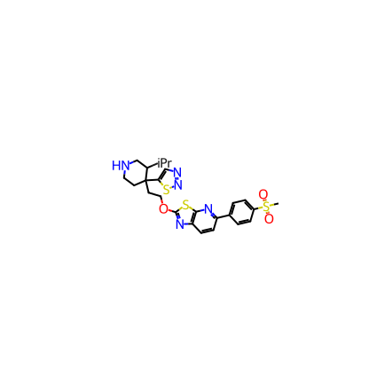 CC(C)C1CNCCC1(CCOc1nc2ccc(-c3ccc(S(C)(=O)=O)cc3)nc2s1)c1cnns1